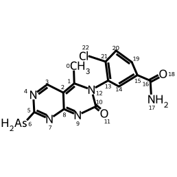 Cc1c2cnc([AsH2])nc2nc(=O)n1-c1cc(C(N)=O)ccc1Cl